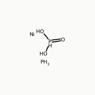 O=[PH](O)O.P.[Ni]